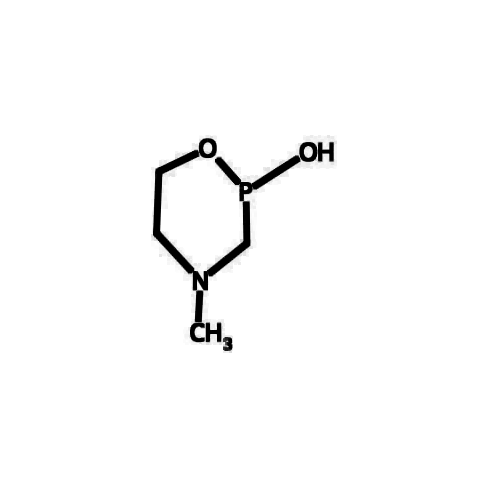 CN1CCOP(O)C1